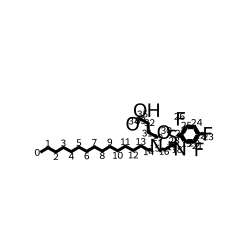 CCCCCCCCCCCCCCCN(Cc1nc2c(F)c(F)cc(F)c2s1)C(=O)CCC(=O)O